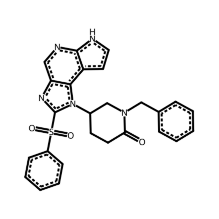 O=C1CCC(n2c(S(=O)(=O)c3ccccc3)nc3cnc4[nH]ccc4c32)CN1Cc1ccccc1